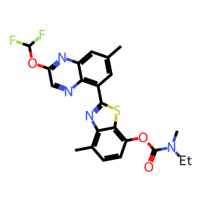 CCN(C)C(=O)Oc1ccc(C)c2nc(-c3cc(C)cc4nc(OC(F)F)cnc34)sc12